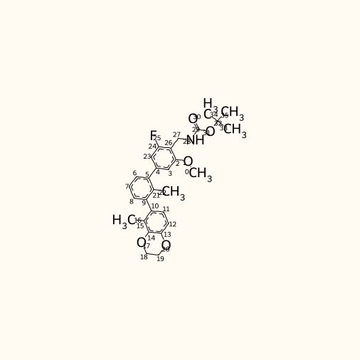 COc1cc(-c2cccc(-c3ccc4c(c3C)OCCO4)c2C)cc(F)c1CNC(=O)OC(C)(C)C